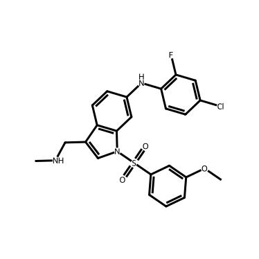 CNCc1cn(S(=O)(=O)c2cccc(OC)c2)c2cc(Nc3ccc(Cl)cc3F)ccc12